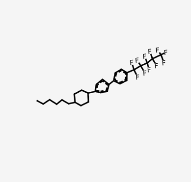 CCCCCCC1CCC(c2ccc(-c3ccc(C(F)(F)C(F)(F)C(F)(F)C(F)(F)C(F)(F)F)cc3)cc2)CC1